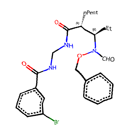 CCCCC[C@@H](C(=O)NCNC(=O)c1cccc(Br)c1)[C@@H](CC)N(C=O)OCc1ccccc1